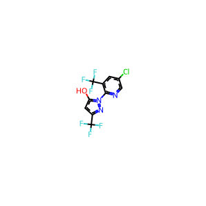 Oc1cc(C(F)(F)F)nn1-c1ncc(Cl)cc1C(F)(F)F